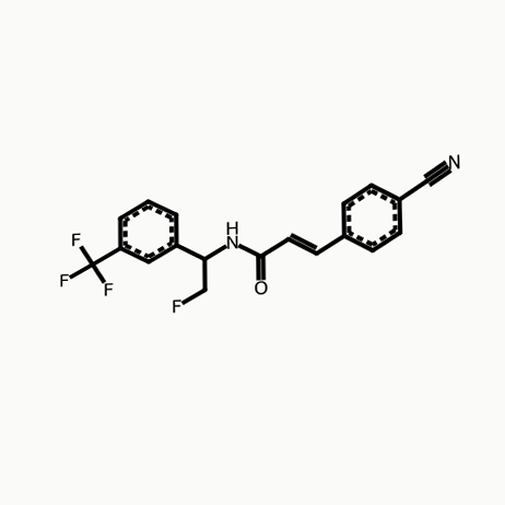 N#Cc1ccc(/C=C/C(=O)NC(CF)c2cccc(C(F)(F)F)c2)cc1